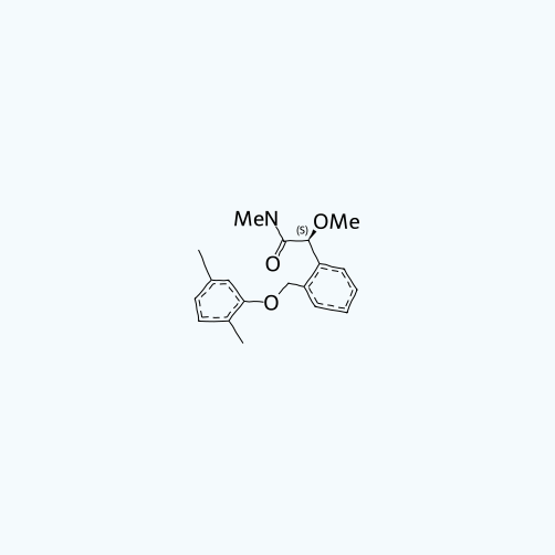 CNC(=O)[C@@H](OC)c1ccccc1COc1cc(C)ccc1C